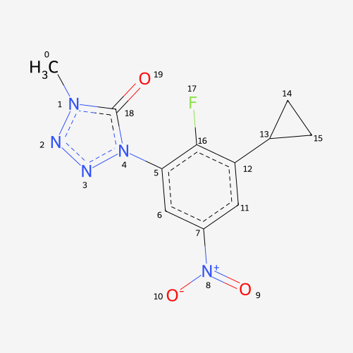 Cn1nnn(-c2cc([N+](=O)[O-])cc(C3CC3)c2F)c1=O